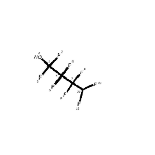 OC(F)(F)C(F)(F)C(F)(F)[C](F)F